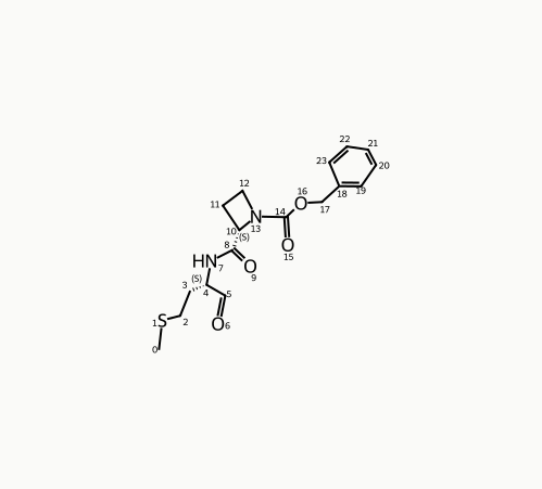 CSCC[C@@H](C=O)NC(=O)[C@@H]1CCN1C(=O)OCc1ccccc1